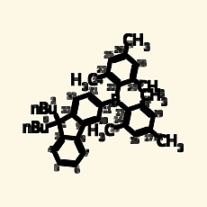 CCCCC1(CCCC)c2ccccc2-c2cc(B(c3c(C)cc(C)cc3C)c3c(C)cc(C)cc3C)ccc21